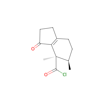 C[C@@H]1CCC2=C(C(=O)CC2)[C@]1(C)C(=O)Cl